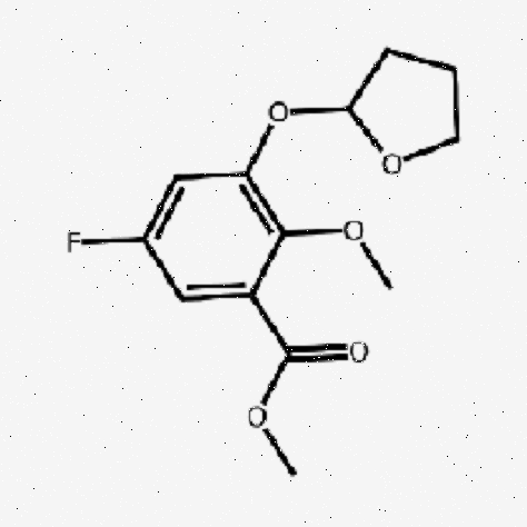 COC(=O)c1cc(F)cc(OC2CCCO2)c1OC